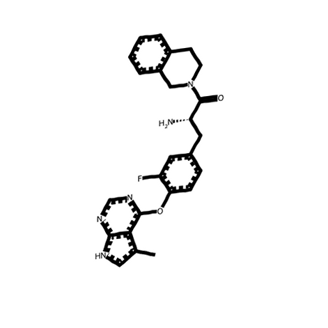 Cc1c[nH]c2ncnc(Oc3ccc(C[C@H](N)C(=O)N4CCc5ccccc5C4)cc3F)c12